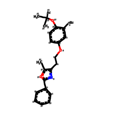 CCCCc1cc(OCCc2nc(-c3ccccc3)oc2C)ccc1OC(C)(C)C(C)=O